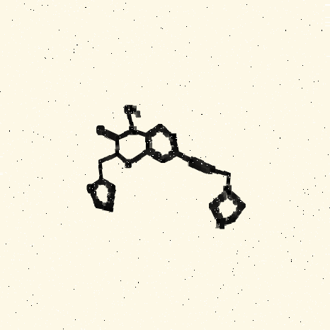 CN1C(=O)C(Cc2ccco2)Sc2cc(C#CCn3ccnc3)ncc21